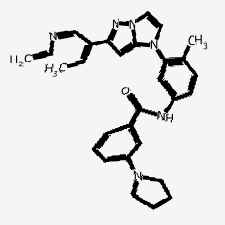 C=C/N=C\C(=C/C)c1cc2n(-c3cc(NC(=O)c4cccc(N5CCCC5)c4)ccc3C)ccn2n1